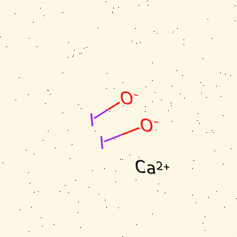 [Ca+2].[O-]I.[O-]I